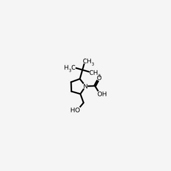 CC(C)(C)C1CCC(CO)N1C(=O)O